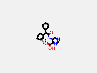 CN(C(=O)C(c1ccccc1)c1ccccc1)c1cncnc1C(=O)O